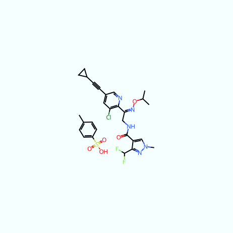 CC(C)O/N=C(/CNC(=O)c1cn(C)nc1C(F)F)c1ncc(C#CC2CC2)cc1Cl.Cc1ccc(S(=O)(=O)O)cc1